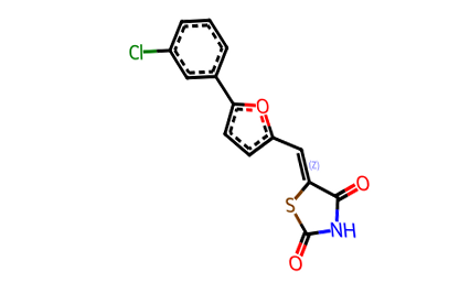 O=C1NC(=O)/C(=C/c2ccc(-c3cccc(Cl)c3)o2)S1